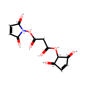 O=C(CC(=O)ON1C(=O)C=CC1=O)OC1C(=O)C=CC1=O